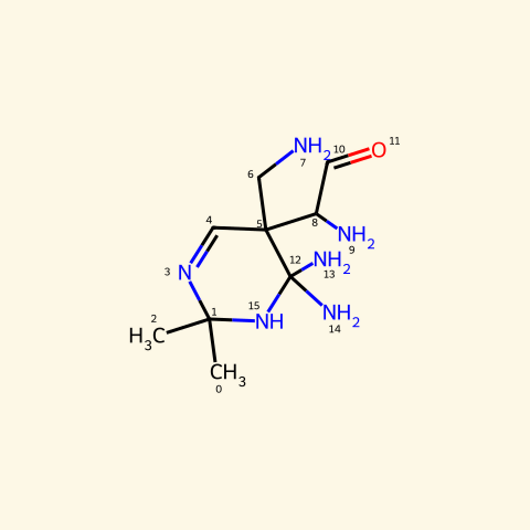 CC1(C)N=CC(CN)(C(N)C=O)C(N)(N)N1